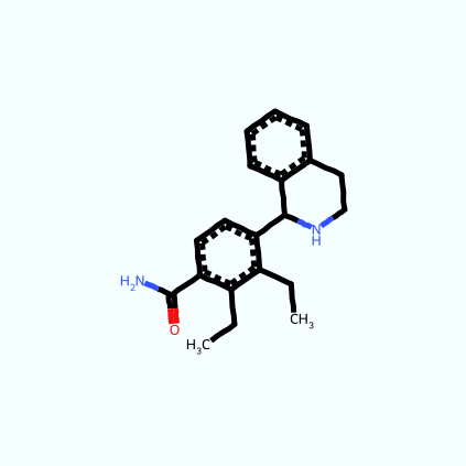 CCc1c(C(N)=O)ccc(C2NCCc3ccccc32)c1CC